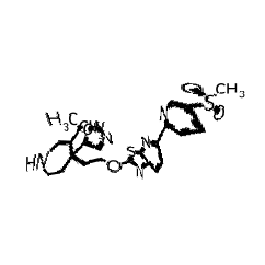 CC(C)C1CNCCC1(CCOc1nc2ccc(-c3ccc(S(C)(=O)=O)cn3)nc2s1)c1cnno1